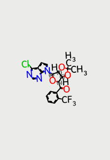 CC1(C)O[C@@H]2[C@H](O1)[C@@H](C(=O)c1ccccc1C(F)(F)F)O[C@H]2n1ccc2c(Cl)ncnc21